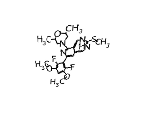 COc1cc(OC)c(F)c(-c2cc3c(c(N4CC(C)OC(C)C4)n2)=CNC(SC)=NC=3)c1F